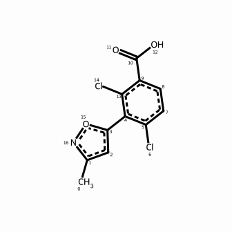 Cc1cc(-c2c(Cl)ccc(C(=O)O)c2Cl)on1